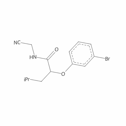 CC(C)CC(Oc1cccc(Br)c1)C(=O)NCC#N